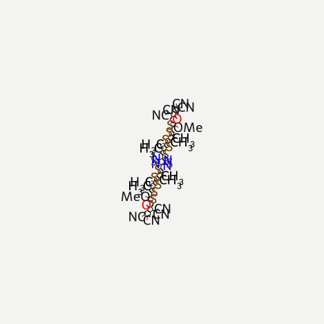 COc1cc(/C=C2\C(=O)c3cc(C#N)c(C#N)cc3C2=C(C#N)C#N)sc1-c1cc2c(s1)-c1sc3c4c(sc3c1C2(C)C)-c1sc(-c2c3c(c(-c5cc6c(s5)-c5sc7c8c(sc7c5C6(C)C)-c5sc(-c6sc(/C=C7\C(=O)c9cc(C#N)c(C#N)cc9C7=C(C#N)C#N)cc6OC)cc5C8(C)C)c5nsnc25)N=S=N3)cc1C4(C)C